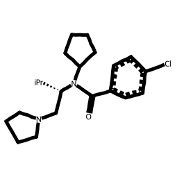 CC(C)[C@@H](CN1CCCC1)N(C(=O)c1ccc(Cl)cc1)C1CCCC1